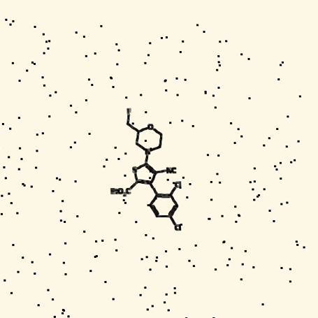 [C-]#[N+]c1c(N2CCOC(CF)C2)sc(C(=O)OCC)c1-c1ccc(Cl)cc1Cl